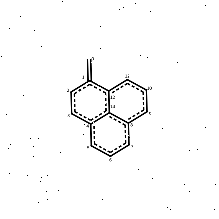 C=c1ccc2cccc3cccc1c32